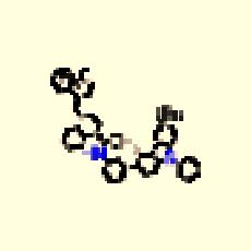 C/C=C\C(=C/C/C=C\C(=C(/C)Nc1cccc(-c2ccc3c(c2)c2cc(C(C)(C)C)ccc2n3-c2ccccc2)c1)c1ccccc1)c1ccccc1